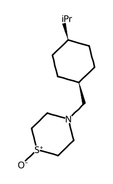 CC(C)[C@H]1CC[C@@H](CN2CC[S+]([O-])CC2)CC1